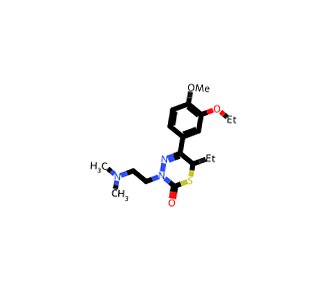 CCOc1cc(C2=NN(CCN(C)C)C(=O)SC2CC)ccc1OC